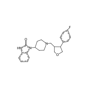 O=c1[nH]c2ccccc2n1C1CCN(CC2COCC2c2ccc(F)cc2)CC1